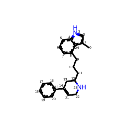 Cc1c[nH]c2cccc(CCCC3CC(c4ccccc4)=CCN3)c12